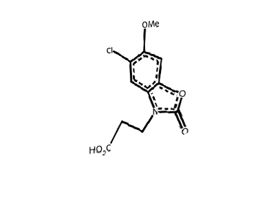 COc1cc2oc(=O)n(CCC(=O)O)c2cc1Cl